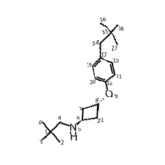 CC(C)(C)CN[C@H]1C[C@H](Oc2ccc(CC(C)(C)C)cc2)C1